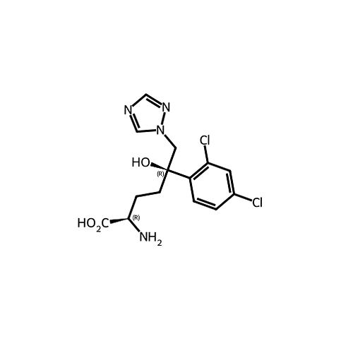 N[C@H](CC[C@](O)(Cn1cncn1)c1ccc(Cl)cc1Cl)C(=O)O